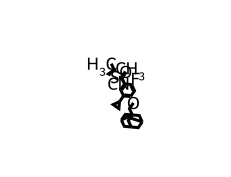 CC1(C)CS1(C#N)C(=O)c1cc(C2CC2)c(OCC23CC4CC(CC(C4)C2)C3)cc1F